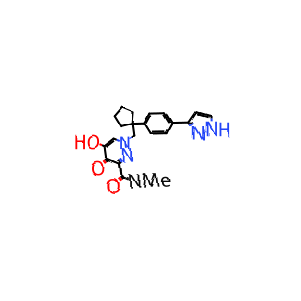 CNC(=O)c1nn(CC2(c3ccc(-c4cc[nH]n4)cc3)CCCC2)cc(O)c1=O